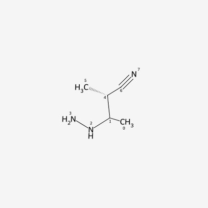 CC(NN)[C@H](C)C#N